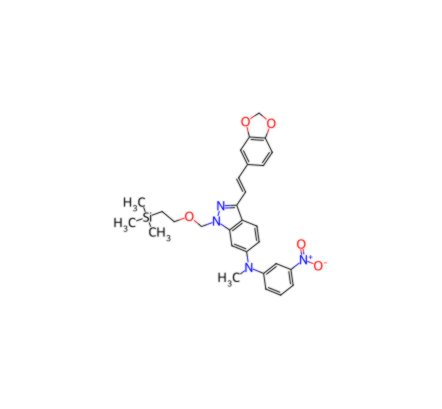 CN(c1cccc([N+](=O)[O-])c1)c1ccc2c(C=Cc3ccc4c(c3)OCO4)nn(COCC[Si](C)(C)C)c2c1